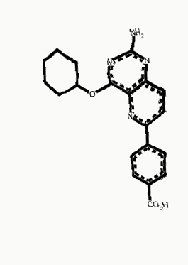 Nc1nc(OC2CCCCC2)c2nc(-c3ccc(C(=O)O)cc3)ccc2n1